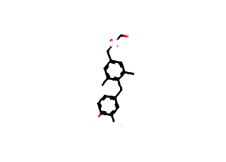 Cc1cc(CP(=O)(O)CO)cc(C)c1Cc1ccc(O)c(C(C)C)c1